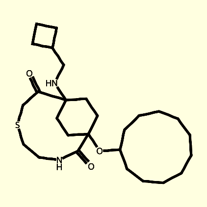 O=C1CSCCNC(=O)C2(OC3CCCCCCCCCC3)CCC1(NCC1CCC1)CC2